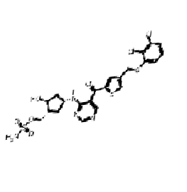 NS(=O)(=O)OC[C@H]1C[C@@H](Nc2ncncc2C(=O)c2cc(COc3cccc(Cl)c3Cl)cs2)C[C@@H]1O